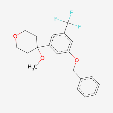 COC1(c2cc(OCc3ccccc3)cc(C(F)(F)F)c2)CCOCC1